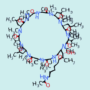 CC[C@@H]1NC(=O)[C@H]([C@H](O)[C@H](C)CCCCCCNC(C)=O)N(C)C(=O)[C@H](C(C)C)N(C)C(=O)[C@H](CC(C)C)N(C)C(=O)[C@H](CC(C)C)N(C)C(=O)[C@@H](C)NC(=O)[C@H](C)NC(=O)[C@H](CC(C)C)N(C)C(=O)[C@H](C(C)C)NC(=O)[C@H](CC(C)C)N(C)C(=O)[C@@H](C)N(C)C1=O